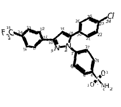 NS(=O)(=O)c1ccc(-n2nc(-c3ccc(C(F)(F)F)cc3)cc2-c2ccc(Cl)cc2)cc1